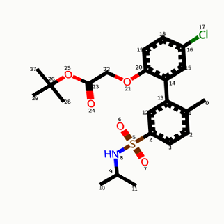 Cc1ccc(S(=O)(=O)NC(C)C)cc1-c1cc(Cl)ccc1OCC(=O)OC(C)(C)C